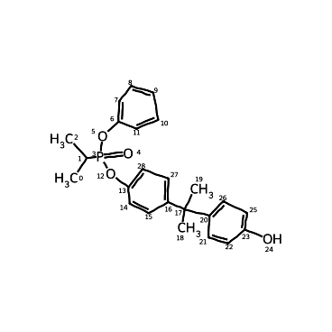 CC(C)P(=O)(Oc1ccccc1)Oc1ccc(C(C)(C)c2ccc(O)cc2)cc1